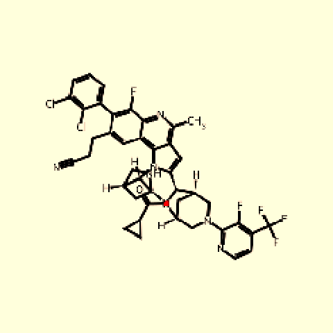 Cc1nc2c(F)c(-c3cccc(Cl)c3Cl)c(CCC#N)cc2c2c1cc([C@H]1[C@H]3C[C@H](CN(c4nccc(C(F)(F)F)c4F)C3)N1C(=O)C1CC1)n2[C@H]1[C@H]2CN[C@@H]1C2